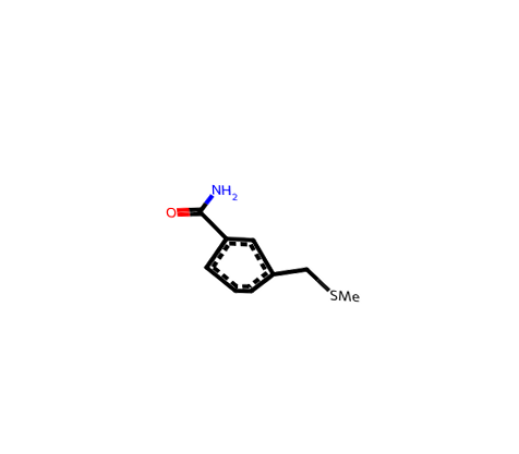 CSCc1cccc(C(N)=O)c1